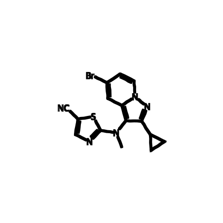 CN(c1ncc(C#N)s1)c1c(C2CC2)nn2ccc(Br)cc12